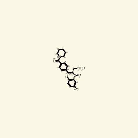 CCO[C@H](CC(=O)O)[C@H](Cc1ccc(Cl)cc1)c1ccc(C(=O)N2CCCCC2)cc1